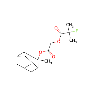 CC(C)(F)C(=O)OCC(=O)OC1(C)C2CC3CC(C2)CC1C3